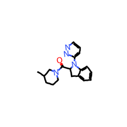 CC1CCCN(C(=O)C2Cc3ccccc3N2c2cccnn2)C1